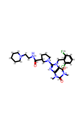 Cn1c(=O)c2c(nc(N3CCCC(C(=O)NCCN4CCCCC4)C3)n2Cc2c(F)cccc2Cl)n(C)c1=O